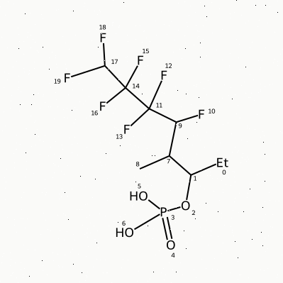 CCC(OP(=O)(O)O)C(C)C(F)C(F)(F)C(F)(F)C(F)F